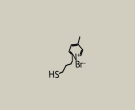 Cc1cc[n+](CCCS)cc1.[Br-]